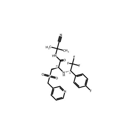 CC(C)(C#N)NC(=O)[C@H](CS(=O)(=O)Cc1cccnc1)N[C@@H](c1ccc(F)cc1)C(F)(F)F